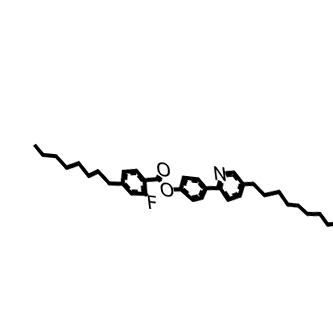 CCCCCCCCCc1ccc(-c2ccc(OC(=O)c3ccc(CCCCCCCC)cc3F)cc2)nc1